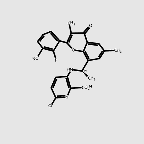 Cc1cc([C@@H](C)Nc2ccc(Cl)nc2C(=O)O)c2oc(-c3cccc(C#N)c3F)c(C)c(=O)c2c1